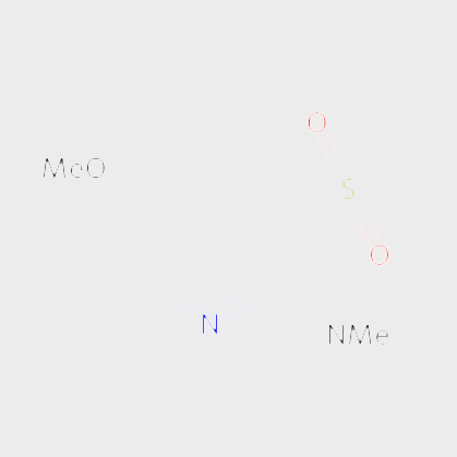 CNc1ncc(OC)cc1S(C)(=O)=O